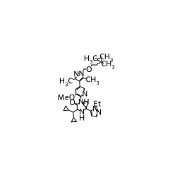 CCn1nccc1C(=O)NC(C(=O)Nc1ncc(-c2c(C)nn(COCC[Si](C)(C)C)c2C)cc1OC)C(C1CC1)C1CC1